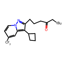 CC(C)(C)CC(=O)CCCc1nn2ccc(C(F)(F)F)cc2c1C1CCC1